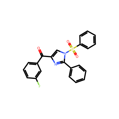 O=C(c1cccc(F)c1)c1cn(S(=O)(=O)c2ccccc2)c(-c2ccccc2)n1